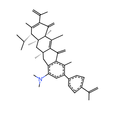 C=C(C)C1=C(C)[C@@H](C(C)C)[C@]2(C)C[C@]3(C)Cc4c(N(C)C)cc(-c5ccc(C(=C)C)cc5)c(C)c4C(=C)C3=C(C)[C@]2(C)C1=C